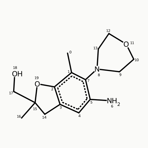 Cc1c2c(cc(N)c1N1CCOCC1)CC(C)(CO)O2